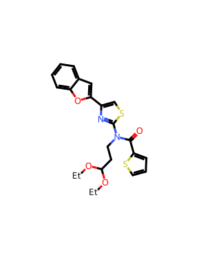 CCOC(CCN(C(=O)c1cccs1)c1nc(-c2cc3ccccc3o2)cs1)OCC